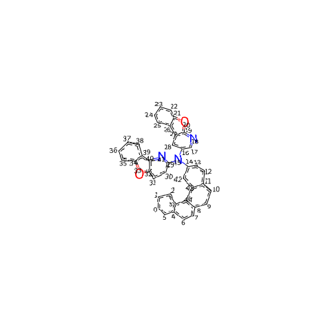 c1ccc2c(c1)ccc1ccc3ccc(N(c4cnc5oc6ccccc6c5c4)c4ccc5oc6ccccc6c5n4)cc3c12